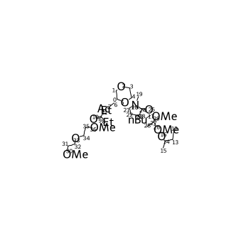 C1COCCO1.CC(C)=O.CCC(=O)CC.CCC(C)=O.CCCCC.CN1CCCC1=O.COC(C)OC.COCCOCCOC